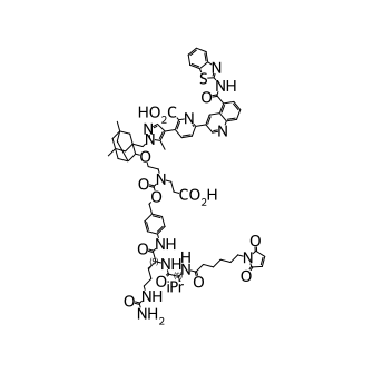 Cc1c(-c2ccc(-c3cnc4cccc(C(=O)Nc5nc6ccccc6s5)c4c3)nc2C(=O)O)cnn1CC12CC3(C)CC(CC(C)(C3)C1)C2OCCN(CCC(=O)O)C(=O)OCc1ccc(NC(=O)[C@H](CCCNC(N)=O)NC(=O)[C@@H](NC(=O)CCCCCN2C(=O)C=CC2=O)C(C)C)cc1